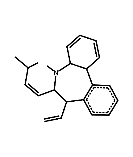 C=CC1c2ccccc2C2C=CC=CC2N(C)C1/C=C\C(C)C